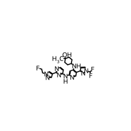 CC1(O)CCC(Nc2cc(Nc3ccnc(-c4cnn(CCF)c4)n3)ncc2-c2ccn(C(F)F)n2)CC1